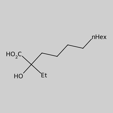 CCCCCCCCCCC(O)(CC)C(=O)O